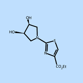 CCOC(=O)c1csc(N2C[C@@H](O)[C@@H](O)C2)n1